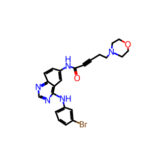 O=C(C#CCCN1CCOCC1)Nc1ccc2ncnc(Nc3cccc(Br)c3)c2c1